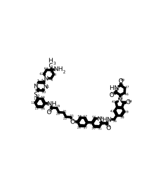 CC1(N)CCN(c2cnc(Sc3cccc(NC(=O)CCCCCOc4ccc(-c5ccc(C(=O)NCc6ccc7c(c6)CN(C6CCC(=O)NC6=O)C7=O)nc5)cc4)c3)cn2)CC1